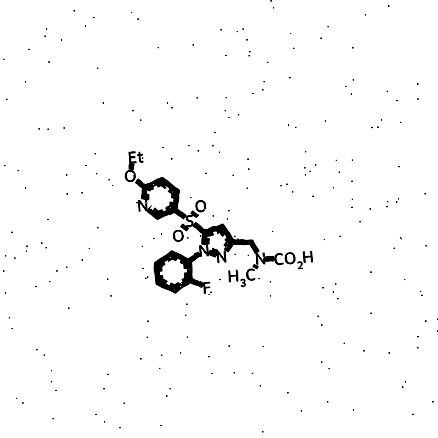 CCOc1ccc(S(=O)(=O)c2cc(CN(C)C(=O)O)nn2-c2ccccc2F)cn1